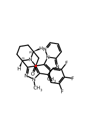 Cc1nc2cccnn2c1C(=O)N1[C@@H]2CCC[C@H]1c1nn(C)c(-c3cc(F)c(F)c(F)c3)c1C2